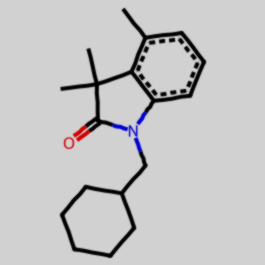 Cc1cccc2c1C(C)(C)C(=O)N2CC1CCCCC1